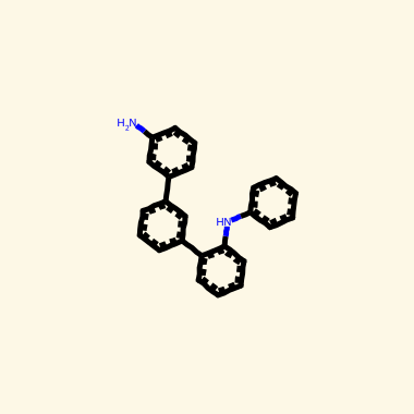 Nc1cccc(-c2cccc(-c3ccccc3Nc3ccccc3)c2)c1